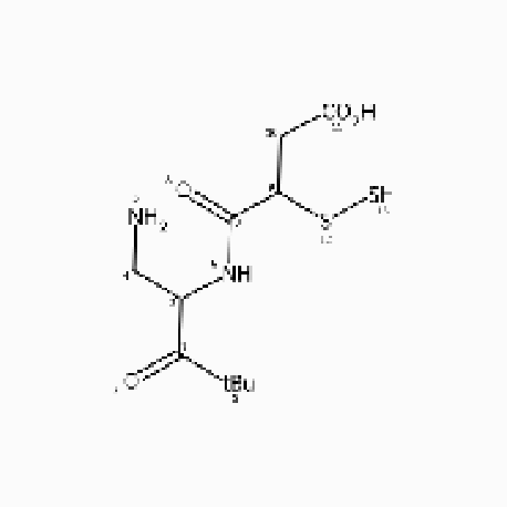 CC(C)(C)C(=O)C(CN)NC(=O)C(CC(=O)O)SS